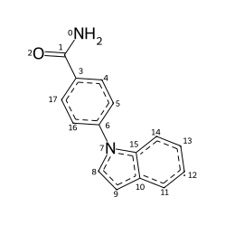 NC(=O)c1ccc(-n2ccc3c[c]ccc32)cc1